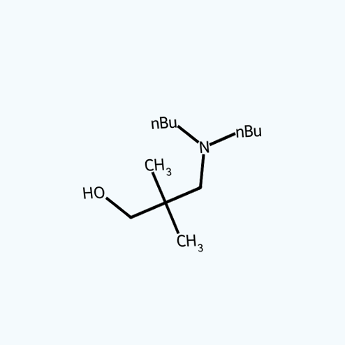 CCCCN(CCCC)CC(C)(C)CO